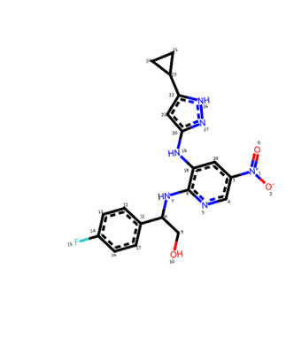 O=[N+]([O-])c1cnc(NC(CO)c2ccc(F)cc2)c(Nc2cc(C3CC3)[nH]n2)c1